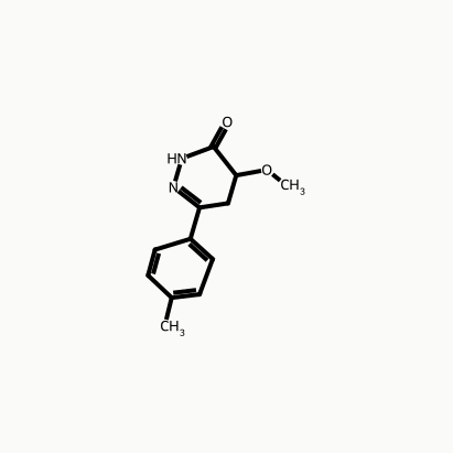 COC1CC(c2ccc(C)cc2)=NNC1=O